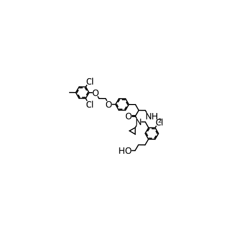 Cc1cc(Cl)c(OCCOc2ccc(CC(CN)C(=O)N(Cc3cc(CCCO)ccc3Cl)C3CC3)cc2)c(Cl)c1